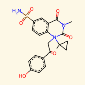 CN1C(=O)c2cc(S(N)(=O)=O)ccc2[N+](CC(=O)c2ccc(O)cc2)(C2(C)CC2)C1=O